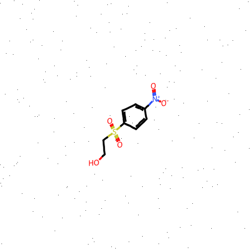 O=[N+]([O-])c1ccc(S(=O)(=O)CCO)cc1